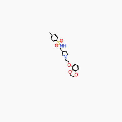 Cc1ccc(S(=O)(=O)NCC2CCN(CCOc3cccc4c3OCCO4)C2)cc1